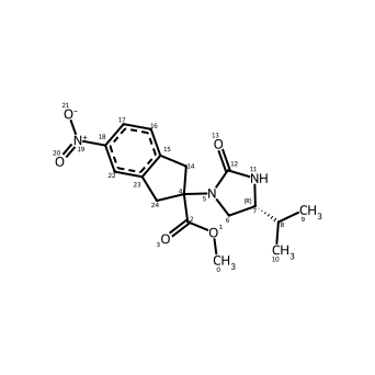 COC(=O)C1(N2C[C@@H](C(C)C)NC2=O)Cc2ccc([N+](=O)[O-])cc2C1